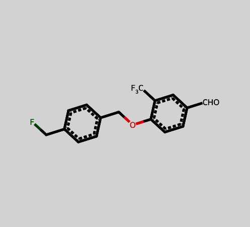 O=Cc1ccc(OCc2ccc(CF)cc2)c(C(F)(F)F)c1